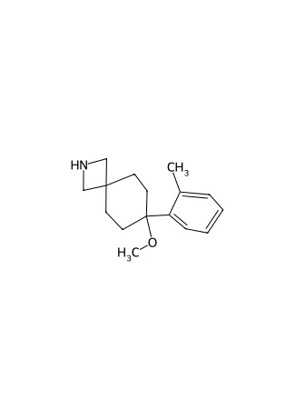 COC1(c2ccccc2C)CCC2(CC1)CNC2